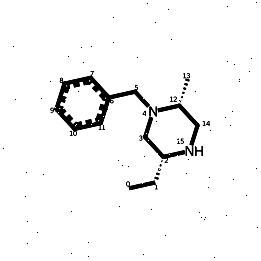 CC[C@@H]1CN(Cc2ccccc2)[C@H](C)CN1